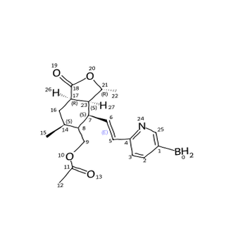 Bc1ccc(/C=C/[C@H]2C(COC(C)=O)[C@@H](C)C[C@H]3C(=O)O[C@H](C)[C@H]32)nc1